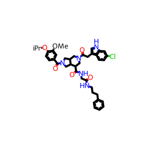 COc1cc(C(=O)N2CC3CN(C(=O)Cc4c[nH]c5cc(Cl)ccc45)CC(C(=O)NCC(=O)NCCCc4ccccc4)C3C2)ccc1OC(C)C